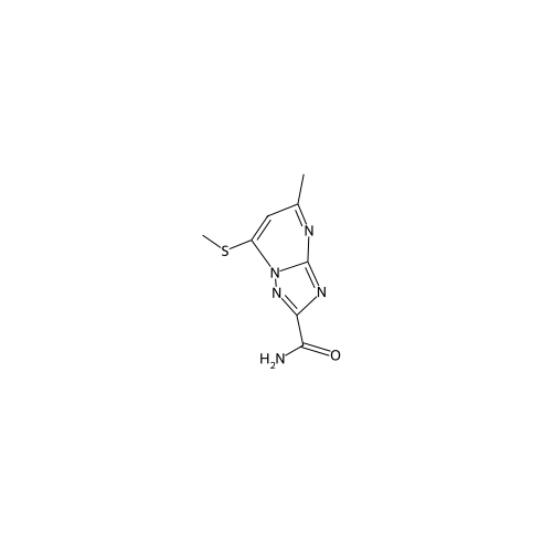 CSc1cc(C)nc2nc(C(N)=O)nn12